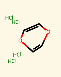 C1=COC=CO1.Cl.Cl.Cl.Cl